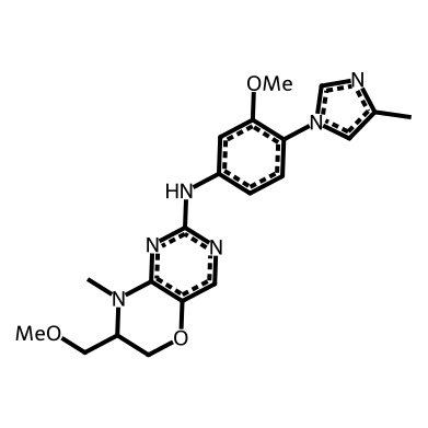 COCC1COc2cnc(Nc3ccc(-n4cnc(C)c4)c(OC)c3)nc2N1C